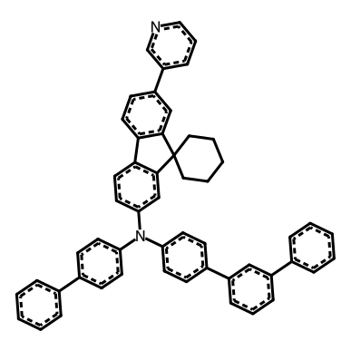 c1ccc(-c2ccc(N(c3ccc(-c4cccc(-c5ccccc5)c4)cc3)c3ccc4c(c3)C3(CCCCC3)c3cc(-c5cccnc5)ccc3-4)cc2)cc1